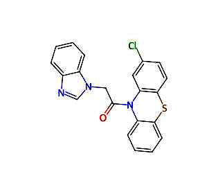 O=C(Cn1cnc2ccccc21)N1c2ccccc2Sc2ccc(Cl)cc21